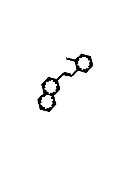 Ic1ccccc1C=Cc1ccc2ccccc2c1